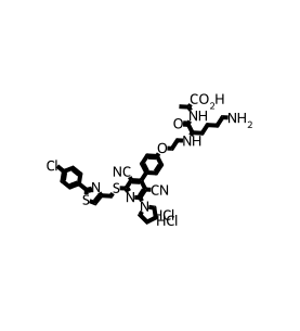 CC(NC(=O)C(CCCCN)NCCOc1ccc(-c2c(C#N)c(SCc3csc(-c4ccc(Cl)cc4)n3)nc(N3CCCC3)c2C#N)cc1)C(=O)O.Cl.Cl